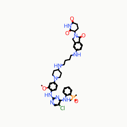 COc1cc(N2CCC(NCCCCNc3ccc4c(c3)CN(C3CCC(=O)NC3=O)C4=O)CC2)ccc1Nc1ncc(Cl)c(Nc2ccccc2P(C)(C)=O)n1